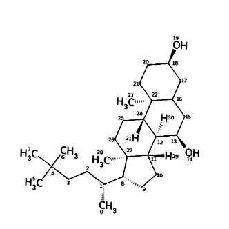 C[C@H](CCC(C)(C)C)[C@H]1CC[C@H]2[C@@H]3[C@H](O)CC4C[C@H](O)CC[C@]4(C)[C@H]3CC[C@]12C